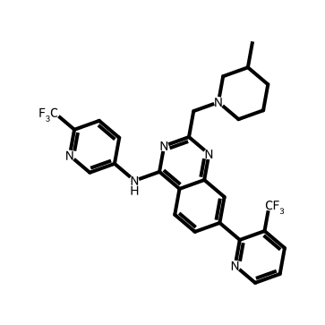 CC1CCCN(Cc2nc(Nc3ccc(C(F)(F)F)nc3)c3ccc(-c4ncccc4C(F)(F)F)cc3n2)C1